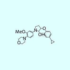 COc1cc(N2CCC(Oc3ccc(C4CC4)cc3)C2O)ccc1N1CCOCC1